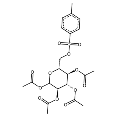 CC(=O)OC1O[C@H](COS(=O)(=O)c2ccc(C)cc2)[C@@H](OC(C)=O)[C@H](OC(C)=O)[C@H]1OC(C)=O